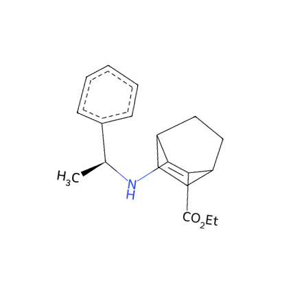 CCOC(=O)C1=C(N[C@@H](C)c2ccccc2)C2CCC1CC2